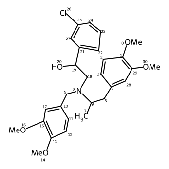 COc1ccc(CC(C)N(Cc2ccc(OC)c(OC)c2)CC(O)c2cccc(Cl)c2)cc1OC